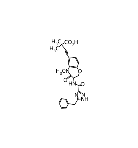 CN1C(=O)C(NC(=O)c2n[nH]c(Cc3ccccc3)n2)COc2ccc(C#CC(C)(C)C(=O)O)cc21